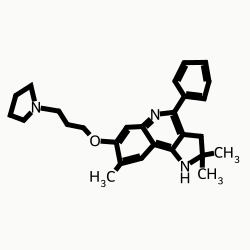 Cc1cc2c3c(c(-c4ccccc4)nc2cc1OCCCN1CCCC1)CC(C)(C)N3